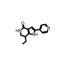 CCC1CNC(=O)c2cc(-c3ccncc3)[nH]c21